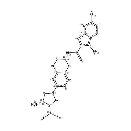 Cc1ccc2c(N)c(C(=O)N[C@H]3CCc4nc(N5CC(C(F)F)[C@H](N)C5)ncc4C3)sc2n1